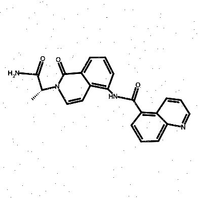 C[C@H](C(N)=O)n1ccc2c(NC(=O)c3cccc4ncccc34)cccc2c1=O